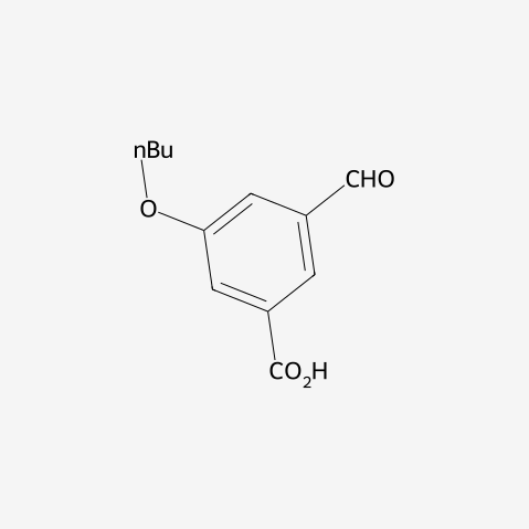 CCCCOc1cc(C=O)cc(C(=O)O)c1